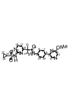 COc1cncc(-c2ccc(NC(=O)C(C)(C)c3ccnc(NS(=O)(=O)C4CC4)n3)cc2)n1